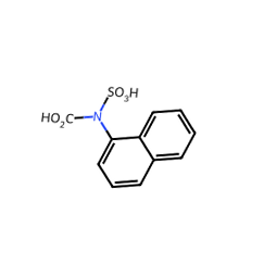 O=C(O)N(c1cccc2ccccc12)S(=O)(=O)O